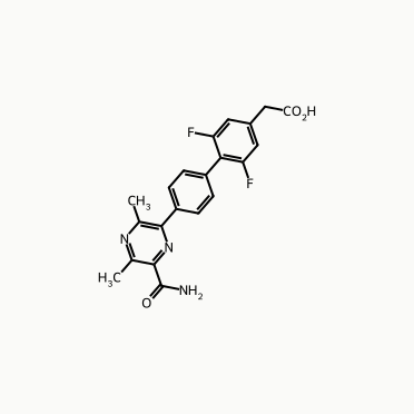 Cc1nc(C)c(-c2ccc(-c3c(F)cc(CC(=O)O)cc3F)cc2)nc1C(N)=O